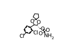 NS(=O)(=O)OC[C@H]1OC2(CCCC2)OC1c1ccc(Cl)cc1Cl